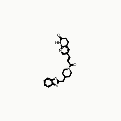 O=C1CCc2cc(/C=C/C(=O)N3CCC(Cc4nc5ccccc5s4)CC3)cnc2N1